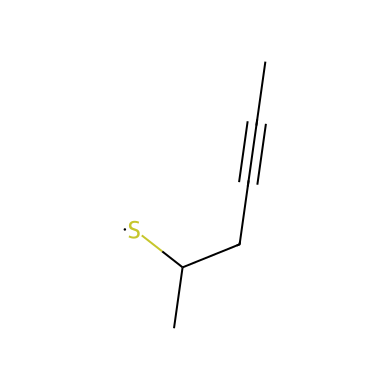 CC#CCC(C)[S]